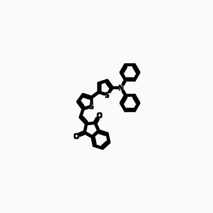 O=C1C(=Cc2ccc(-c3ccc(N(c4ccccc4)c4ccccc4)s3)s2)C(=O)c2ccccc21